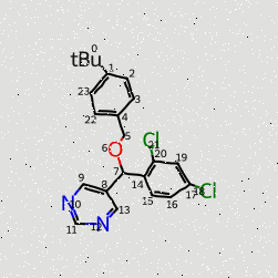 CC(C)(C)c1ccc(COC(c2cncnc2)c2ccc(Cl)cc2Cl)cc1